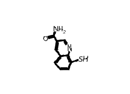 NC(=O)c1cnc2c(S)cccc2c1